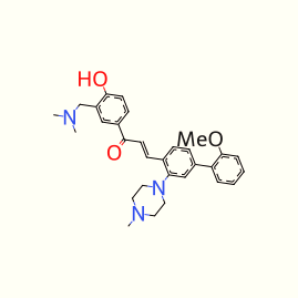 COc1ccccc1-c1ccc(C=CC(=O)c2ccc(O)c(CN(C)C)c2)c(N2CCN(C)CC2)c1